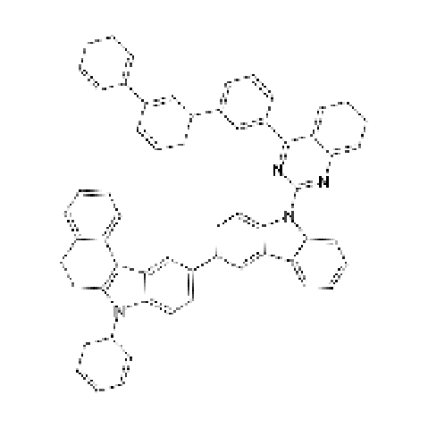 C1=CCC(n2c3c(c4cc(-c5ccc6c(c5)c5ccccc5n6-c5nc(-c6cccc(C7C=C(C8=CCCC=C8)C=CC7)c6)c6c(n5)=CCCC=6)ccc42)-c2ccccc2CC3)C=C1